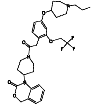 CCCN1CCC(Oc2ccc(CC(=O)N3CCC(N4C(=O)OCc5ccccc54)CC3)c(OCC(F)(F)F)c2)CC1